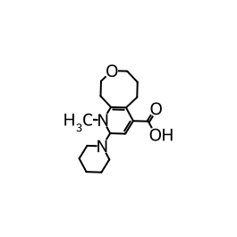 CN1C2=C(CCCOCC2)C(C(=O)O)=CC1N1CCCCC1